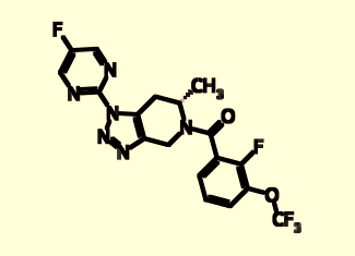 C[C@H]1Cc2c(nnn2-c2ncc(F)cn2)CN1C(=O)c1cccc(OC(F)(F)F)c1F